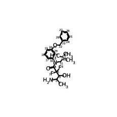 CC(N)C(O)C(F)(F)C(=O)N(C[Si](C)(C)C)c1cccc(OCc2ccccc2)c1